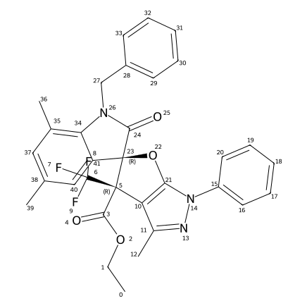 CCOC(=O)[C@@]1(C(F)(F)F)c2c(C)nn(-c3ccccc3)c2O[C@@]12C(=O)N(Cc1ccccc1)c1c(C)cc(C)cc12